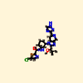 COC(c1nc2cnc(-c3nc[nH]n3)cc2n1[C@@H]1CCC[C@H](NC(=O)c2ncc(Cl)s2)C1)C(C)C